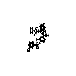 CN(C)c1nc(N[C@H]2CC[C@@H](CNC(=O)c3cccc(C#N)c3)CC2)nc2ccccc12